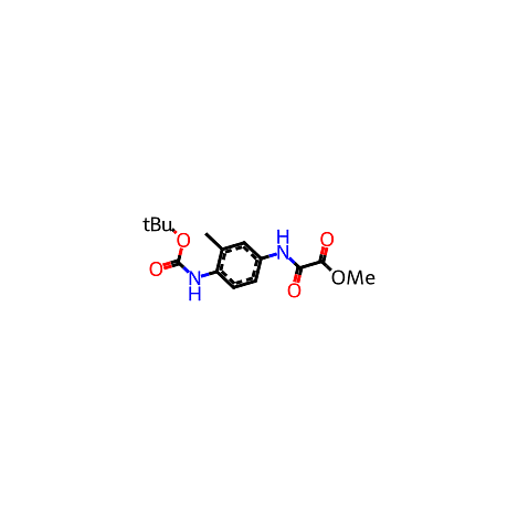 COC(=O)C(=O)Nc1ccc(NC(=O)OC(C)(C)C)c(C)c1